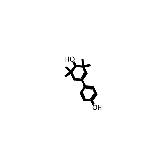 CC1(C)C=C(c2ccc(O)cc2)CC(C)(C)C1O